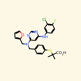 CC(C)(Sc1ccc(CN(Cc2ccco2)c2cc(Nc3ccc(F)c(Cl)c3)ncn2)cc1)C(=O)O